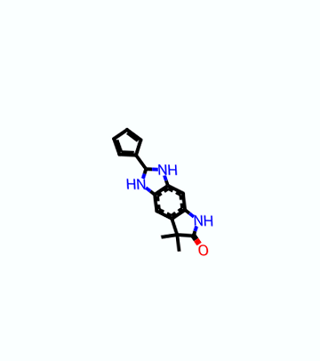 CC1(C)C(=O)Nc2cc3c(cc21)NC(C1=C=CC=C1)N3